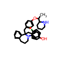 CC(Oc1ccc(CC2(Cc3ccc(O)cc3)c3ccccc3CCCN2c2ccccc2F)cc1)C1CCCCN1